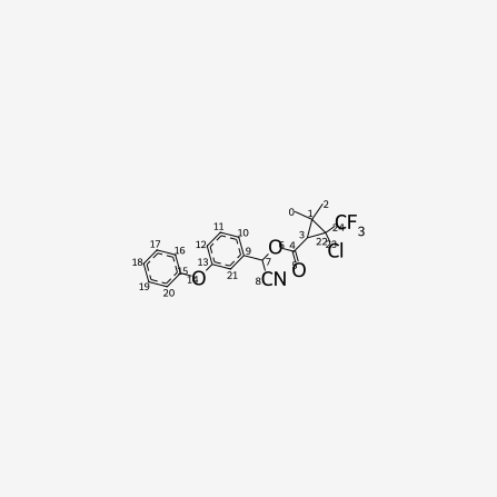 CC1(C)C(C(=O)OC(C#N)c2cccc(Oc3ccccc3)c2)C1(Cl)C(F)(F)F